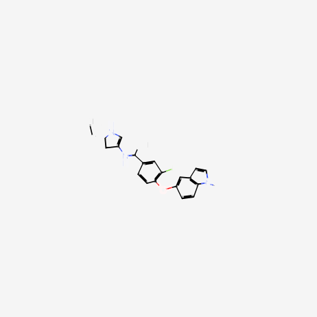 CC[C@H]1CC(NC(C)c2ccc(Oc3ccc4c(ccn4C)c3)c(F)c2)=CN1